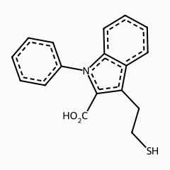 O=C(O)c1c(CCS)c2ccccc2n1-c1ccccc1